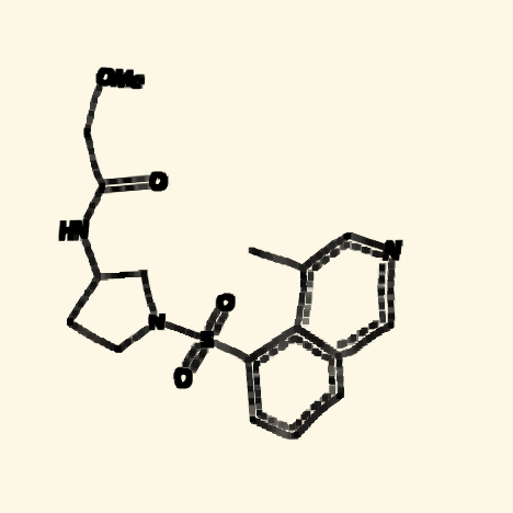 COCC(=O)NC1CCN(S(=O)(=O)c2cccc3cncc(C)c23)C1